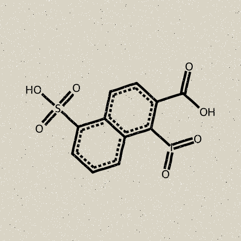 O=C(O)c1ccc2c(S(=O)(=O)O)cccc2c1I(=O)=O